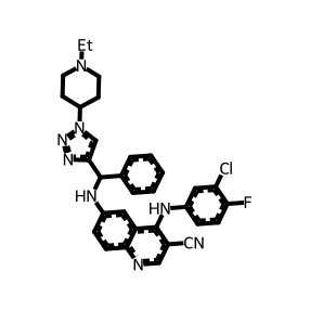 CCN1CCC(n2cc(C(Nc3ccc4ncc(C#N)c(Nc5ccc(F)c(Cl)c5)c4c3)c3ccccc3)nn2)CC1